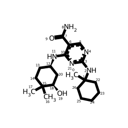 CC1(Nc2ncc(C(N)=O)c(N[C@@H]3CCC(C)(C)[C@H](O)C3)n2)CCCCC1